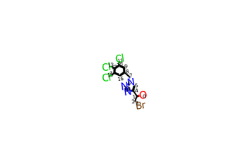 O=C(CBr)c1cn(Cc2cc(Cl)c(Cl)c(Cl)c2)nn1